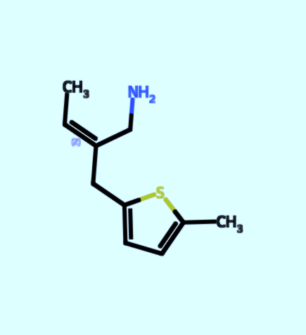 C/C=C(\CN)Cc1ccc(C)s1